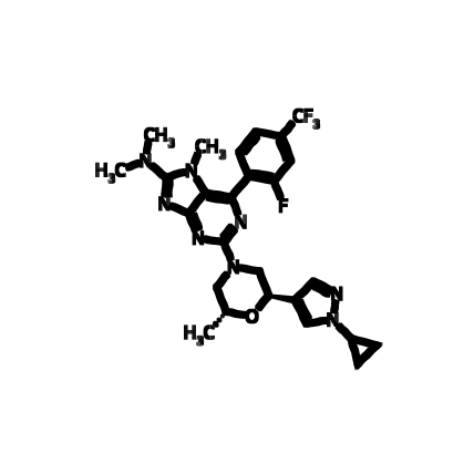 C[C@@H]1CN(c2nc(-c3ccc(C(F)(F)F)cc3F)c3c(n2)nc(N(C)C)n3C)C[C@@H](c2cnn(C3CC3)c2)O1